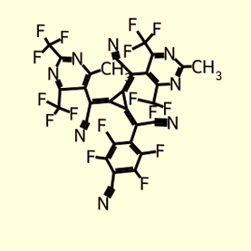 Cc1nc(C(F)(F)F)c(/C(C#N)=C2/C(=C(C#N)c3c(C)nc(C(F)(F)F)nc3C(F)(F)F)/C2=C(/C#N)c2c(F)c(F)c(C#N)c(F)c2F)c(C(F)(F)F)n1